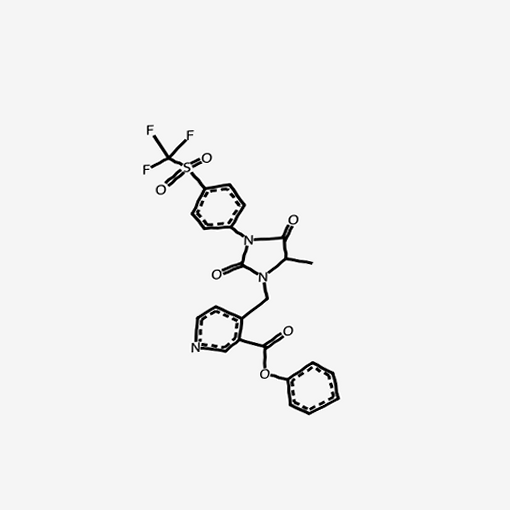 CC1C(=O)N(c2ccc(S(=O)(=O)C(F)(F)F)cc2)C(=O)N1Cc1ccncc1C(=O)Oc1ccccc1